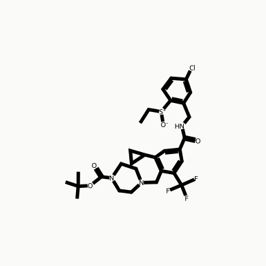 CC[S+]([O-])c1ccc(Cl)cc1CNC(=O)c1cc(C2CC2)c(CN2CCN(C(=O)OC(C)(C)C)CC2)c(C(F)(F)F)c1